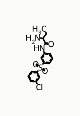 CCC(N)C(=O)Nc1cccc(S(=O)(=O)c2cccc(Cl)c2)c1